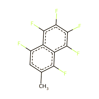 Cc1cc(F)c2c(F)c(F)c(F)c(F)c2c1F